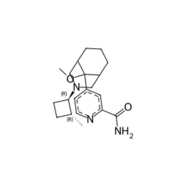 COC1(c2ccnc(C(N)=O)c2)C2CCCC1CN([C@@H]1CC[C@H]1C)C2